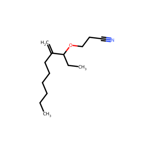 C=C(CCCCCC)C(CC)OCCC#N